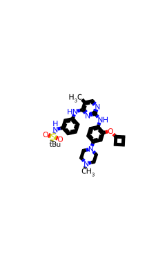 Cc1cnc(Nc2ccc(N3CCN(C)CC3)cc2OC2CCC2)nc1Nc1cccc(NS(=O)(=O)C(C)(C)C)c1